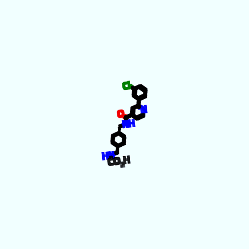 O=C(O)NC[C@H]1CC[C@H](CNC(=O)c2ccnc(-c3cccc(Cl)c3)c2)CC1